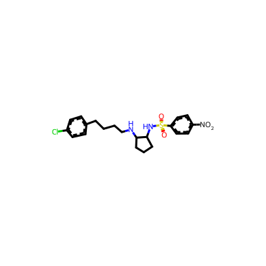 O=[N+]([O-])c1ccc(S(=O)(=O)NC2CCCC2NCCCCc2ccc(Cl)cc2)cc1